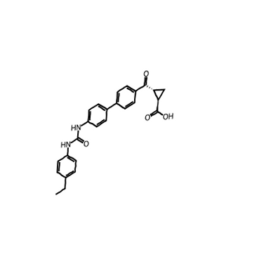 CCc1ccc(NC(=O)Nc2ccc(-c3ccc(C(=O)[C@@H]4C[C@H]4C(=O)O)cc3)cc2)cc1